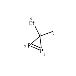 CCC1(C)P=P1